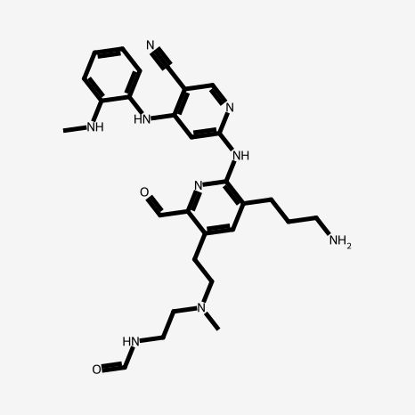 CNc1ccccc1Nc1cc(Nc2nc(C=O)c(CCN(C)CCNC=O)cc2CCCN)ncc1C#N